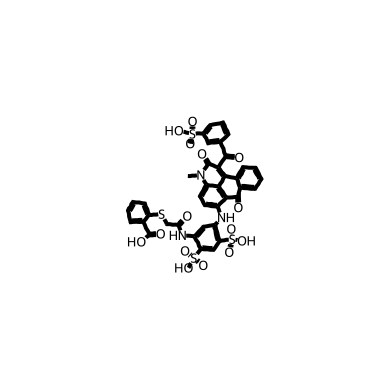 Cn1c(=O)c(C(=O)c2cccc(S(=O)(=O)O)c2)c2c3c(c(Nc4cc(NC(=O)CSc5ccccc5C(=O)O)c(S(=O)(=O)O)cc4S(=O)(=O)O)ccc31)C(=O)c1ccccc1-2